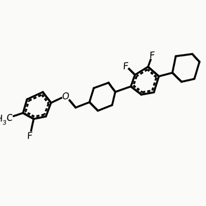 Cc1ccc(OCC2CCC(c3ccc(C4CCCCC4)c(F)c3F)CC2)cc1F